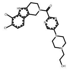 O=C(c1ncc(N2CCN(CCO)CC2)cn1)N1CCc2[nH]c3c(Cl)c(Cl)ccc3c2C1